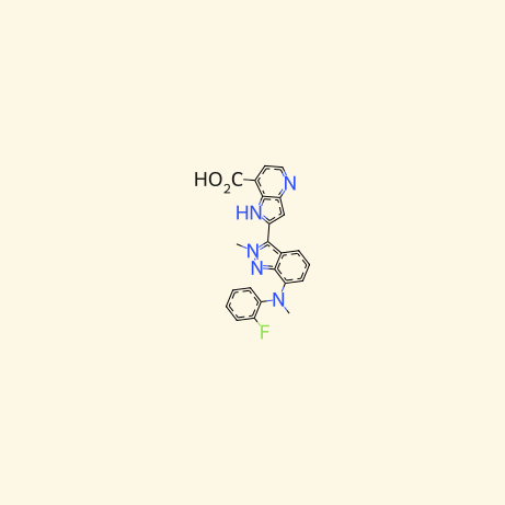 CN(c1ccccc1F)c1cccc2c(-c3cc4nccc(C(=O)O)c4[nH]3)n(C)nc12